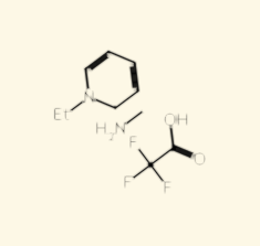 CCN1C=CC=CC1.CN.O=C(O)C(F)(F)F